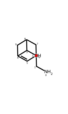 NCNC1C2=COCC1C2